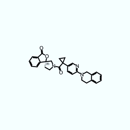 O=C1O[C@]2(CCN(C(=O)C3(c4ccc(N5CCc6ccccc6C5)nc4)CC3)C2)c2ccccc21